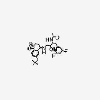 CC(=O)NC(Cc1cc(F)cc(F)c1)C(O)CNC1CCS(=O)(=O)c2ccc(CC(C)(C)C)cc21